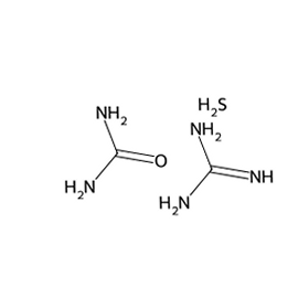 N=C(N)N.NC(N)=O.S